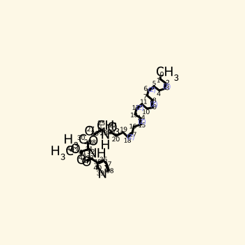 CC/C=C\C/C=C\C/C=C\C/C=C\C/C=C\C/C=C\CCC(=O)N[C@@H](C)C(=O)OC(C)C(NC(=O)c1cccnc1)C(=O)OC